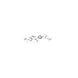 CC(C)C(=O)CC[C@H](NC(=O)c1ccc(N(Cc2cnc3nc(NC(=O)C(C)C)[nH]c(=O)c3n2)C(=O)C(F)(F)F)cc1)C(=O)O